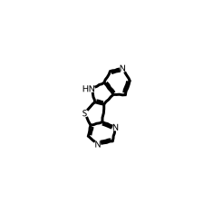 c1cc2c(cn1)[nH]c1sc3cncnc3c12